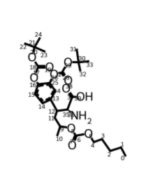 CCCCCOC(=O)OC(C)CC(c1ccc(OC(=O)OC(C)(C)C)c(OC(=O)OC(C)(C)C)c1)[C@H](N)C(=O)O